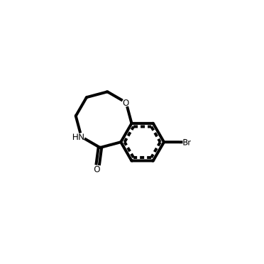 O=C1NCCCOc2cc(Br)ccc21